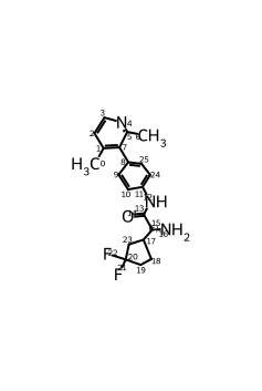 Cc1ccnc(C)c1-c1ccc(NC(=O)[C@@H](N)C2CCC(F)(F)C2)cc1